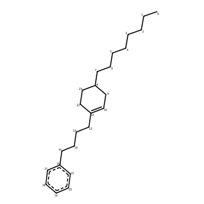 CCCCCCCCC1CC=C(CCCCc2ccccc2)CC1